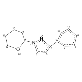 c1ccc(-c2ccn(C3CCCCO3)n2)cc1